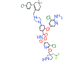 CC1(C)CCC(CN2CCN(c3ccc(C(=O)NS(=O)(=O)c4cnc(OC[C@@]5(CC(F)F)CCNC5)c(Cl)c4)c(Oc4cnc(N)c(Cl)c4)c3)CC2)=C(c2ccc(Cl)cc2)C1